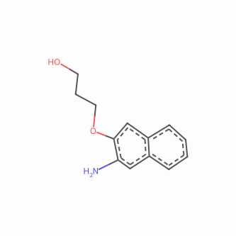 Nc1cc2ccccc2cc1OCCCO